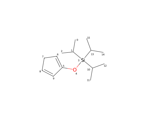 CC(C)[Si](OC1=CCC=C1)(C(C)C)C(C)C